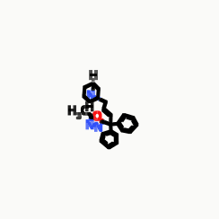 Cc1nnc(C(C=CCN2C[C@H]3CC[C@H]2CC3)(c2ccccc2)c2ccccc2)o1